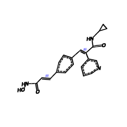 O=C(/C=C/c1ccc(/C=C(/C(=O)NC2CC2)c2cccnc2)cc1)NO